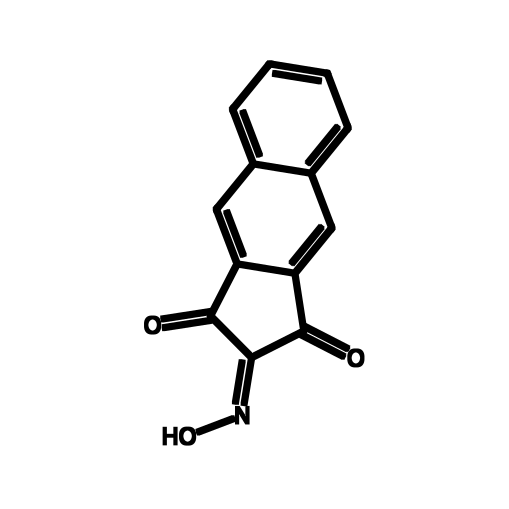 O=c1c(=NO)c(=O)c2cc3ccccc3cc12